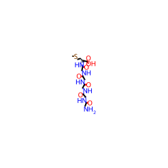 CSCC[C@H](NC(=O)CNC(=O)CNC(=O)CNC(=O)CNC(=O)CN)C(=O)O